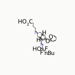 CCCCC(F)(F)[C@@H](O)/C=C/[C@H]1[C@H]2C/C(=C/CCCC(=O)O)C[C@H]2C[C@H]1O[C@@H]1C=CC=CO1